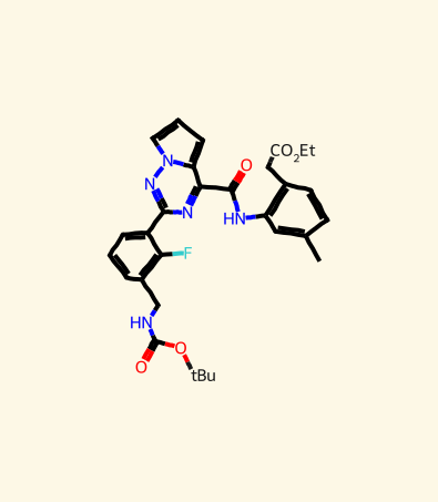 CCOC(=O)Cc1ccc(C)cc1NC(=O)c1nc(-c2cccc(CNC(=O)OC(C)(C)C)c2F)nn2cccc12